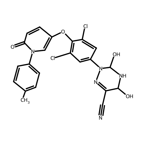 Cc1ccc(-n2cc(Oc3c(Cl)cc(N4N=C(C#N)C(O)NC4O)cc3Cl)ccc2=O)cc1